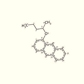 CCCC(C)Oc1cccc2cc3ccccc3cc12